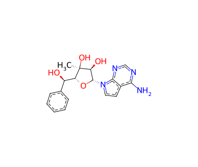 C[C@@]1(O)[C@@H]([C@H](O)c2ccccc2)O[C@@H](n2ccc3c(N)ncnc32)[C@@H]1O